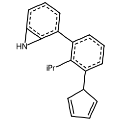 CC(C)c1c(-c2cccc3c2N3)cccc1C1C=CC=C1